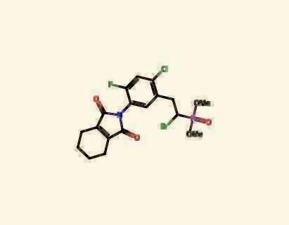 COP(=O)(OC)C(Br)Cc1cc(N2C(=O)C3=C(CCCC3)C2=O)c(F)cc1Cl